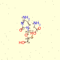 NCC(=O)O.Nc1ccn([C@H]2CS[C@@H](CO)O2)c(=O)n1